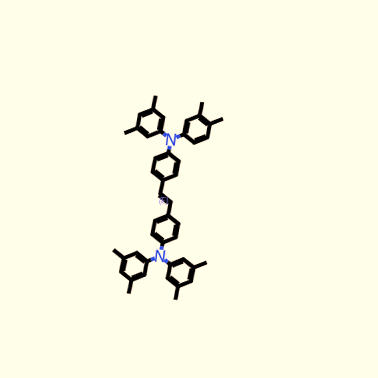 Cc1cc(C)cc(N(c2ccc(/C=C/c3ccc(N(c4cc(C)cc(C)c4)c4ccc(C)c(C)c4)cc3)cc2)c2cc(C)cc(C)c2)c1